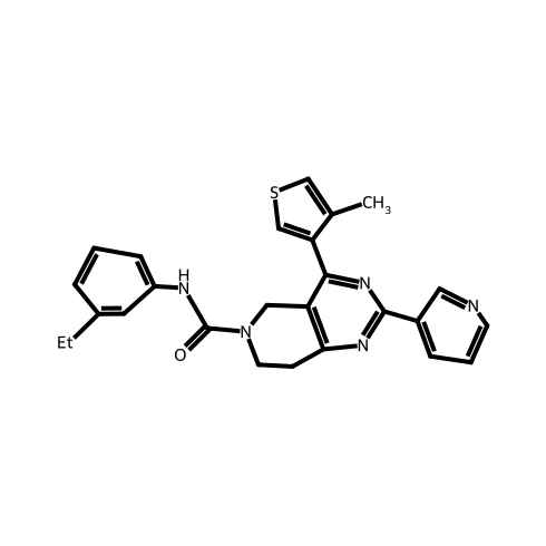 CCc1cccc(NC(=O)N2CCc3nc(-c4cccnc4)nc(-c4cscc4C)c3C2)c1